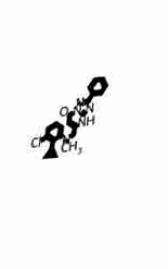 CN(Cc1cc(=O)n2nc(-c3ccccc3)nc2[nH]1)c1cccc(Cl)c1C1CC1